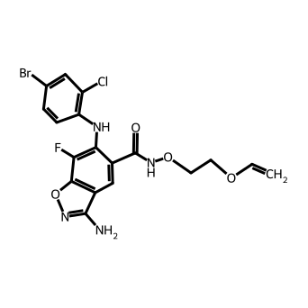 C=COCCONC(=O)c1cc2c(N)noc2c(F)c1Nc1ccc(Br)cc1Cl